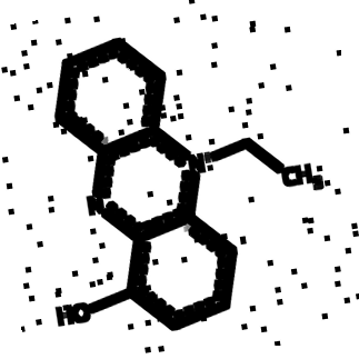 CC[n+]1c2ccccc2nc2c(O)cccc21